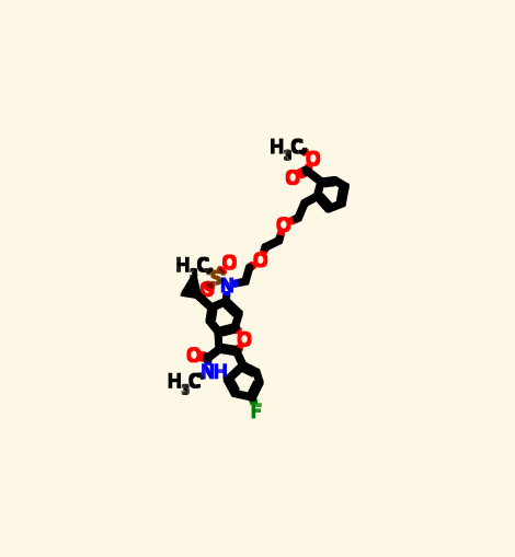 CNC(=O)c1c(-c2ccc(F)cc2)oc2cc(N(CCOCCOCCc3ccccc3C(=O)OC)S(C)(=O)=O)c(C3CC3)cc12